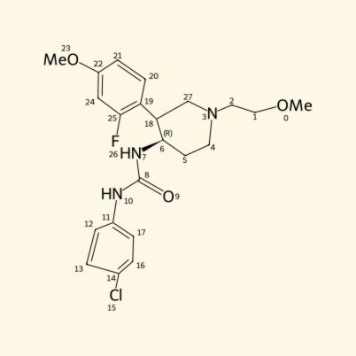 COCCN1CC[C@@H](NC(=O)Nc2ccc(Cl)cc2)C(c2ccc(OC)cc2F)C1